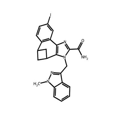 Cn1nc(Cn2c(C(N)=O)nc3c2C2CC(C2)c2ccc(I)cc2-3)c2ccccc21